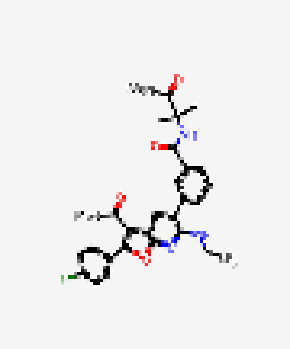 CNC(=O)c1c(-c2ccc(F)cc2)oc2nc(NCC(F)(F)F)c(-c3cccc(C(=O)NC(C)(C)C(=O)NC)c3)cc12